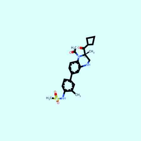 CC(=O)N1c2ccc(-c3ccc(NS(C)(=O)=O)c(C)c3)cc2NC[C@@]1(C)C(=O)C1CCC1